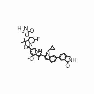 COc1cc(C(=O)N2C[C@H](F)C[C@@H](OC(N)=O)C2C(C)(C)C)cn2nc(-c3cc4ccc(-c5ccc6c(c5)C(=O)NC6)cc4n3CC3CC3)c(C)c12